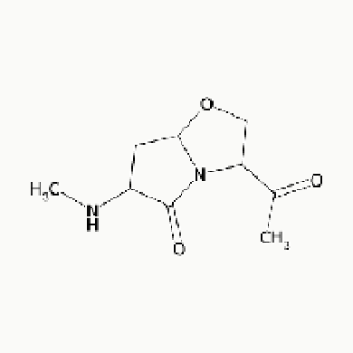 CNC1CC2OCC(C(C)=O)N2C1=O